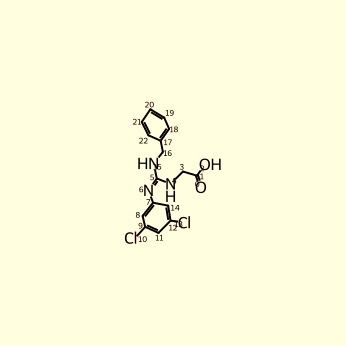 O=C(O)CNC(=Nc1cc(Cl)cc(Cl)c1)NCc1ccccc1